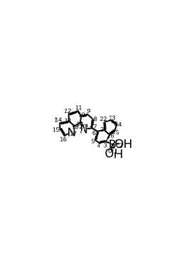 OB(O)c1ccc(-c2ccc3ccc4cccnc4c3n2)c2ccccc12